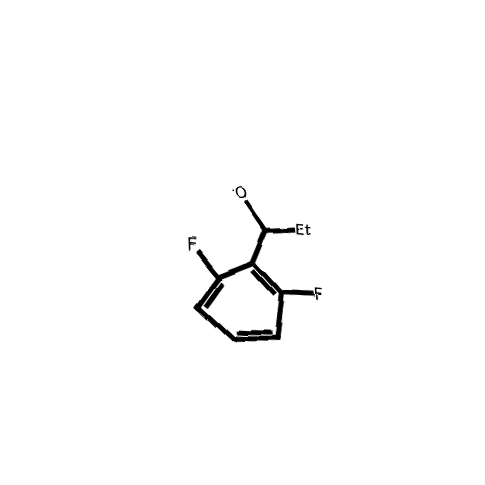 CCC([O])c1c(F)cccc1F